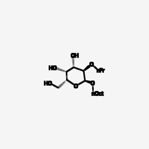 CCCCCCCCO[C@H]1O[C@H](CO)[C@H](O)[C@H](O)[C@H]1OCCC